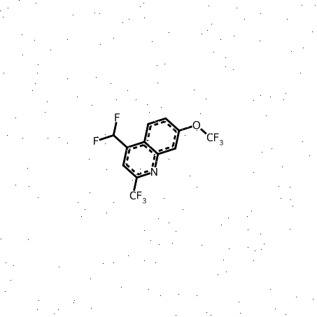 FC(F)c1cc(C(F)(F)F)nc2cc(OC(F)(F)F)ccc12